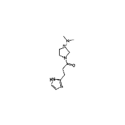 CN(C)[C@H]1CCN(C(=O)CCc2ncc[nH]2)C1